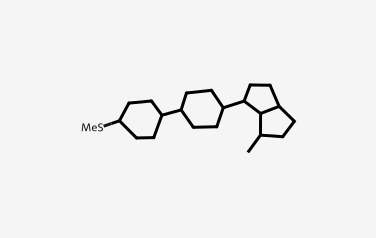 CSC1CCC(C2CCC(C3CCC4CCC(C)C43)CC2)CC1